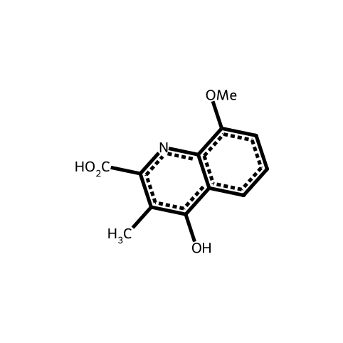 COc1cccc2c(O)c(C)c(C(=O)O)nc12